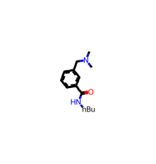 CCCCNC(=O)c1cccc(CN(C)C)c1